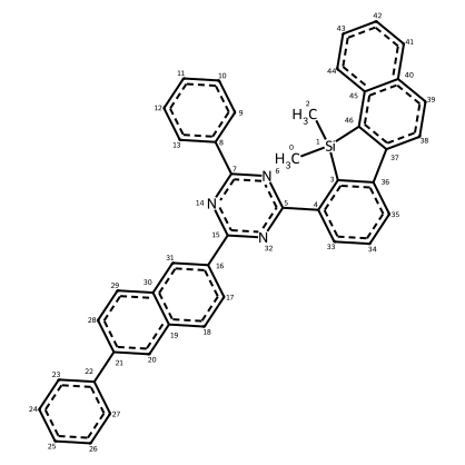 C[Si]1(C)c2c(-c3nc(-c4ccccc4)nc(-c4ccc5cc(-c6ccccc6)ccc5c4)n3)cccc2-c2ccc3ccccc3c21